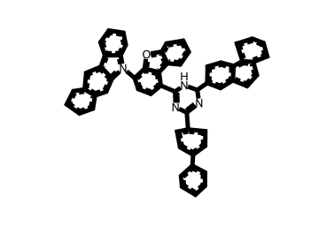 c1ccc(-c2ccc(C3=NC(c4ccc5c(ccc6ccccc65)c4)NC(c4ccc(-n5c6ccccc6c6cc7ccccc7cc65)c5oc6ccccc6c45)=N3)cc2)cc1